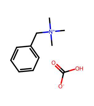 C[N+](C)(C)Cc1ccccc1.O=C([O-])O